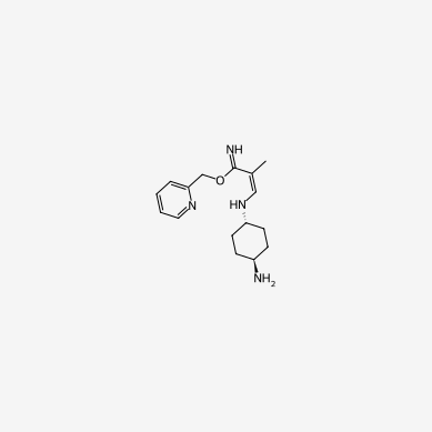 C/C(=C/N[C@H]1CC[C@H](N)CC1)C(=N)OCc1ccccn1